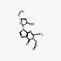 [N-]=[N+]=Nn1c(N)nc2c(ncn2[C@@H]2O[C@H](CO)C[C@H]2O)c1=O